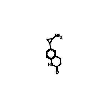 NC1CC1c1ccc2c(c1)CCC(=O)N2